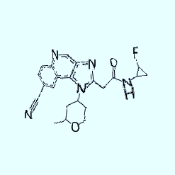 CC1CC(n2c(CC(=O)NC3CC3F)nc3cnc4ccc(C#N)cc4c32)CCO1